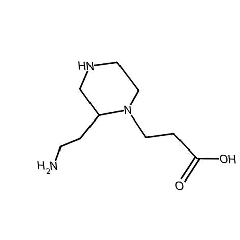 NCCC1CNCCN1CCC(=O)O